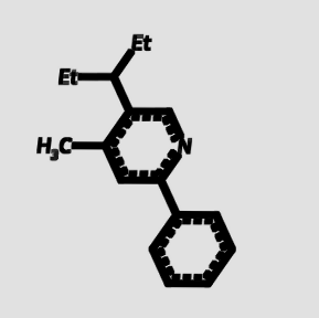 CCC(CC)c1cnc(-c2ccccc2)cc1C